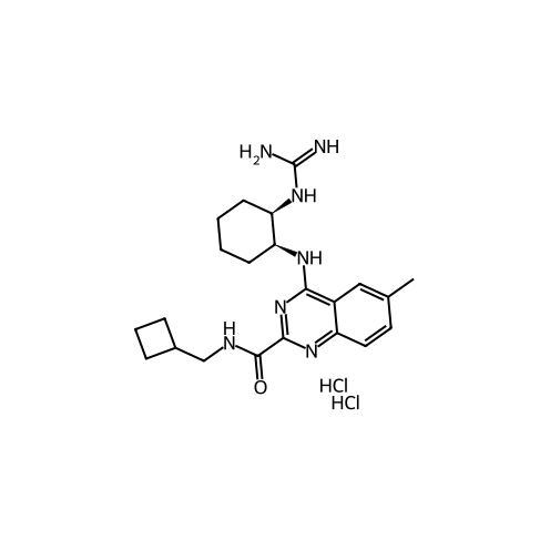 Cc1ccc2nc(C(=O)NCC3CCC3)nc(N[C@H]3CCCC[C@H]3NC(=N)N)c2c1.Cl.Cl